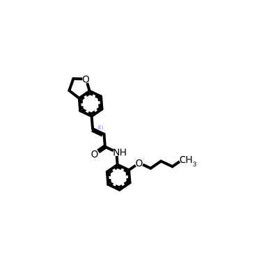 CCCCOc1ccccc1NC(=O)/C=C/c1ccc2c(c1)CCO2